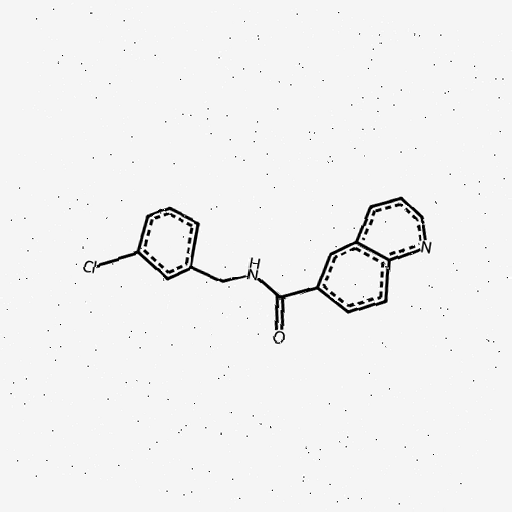 O=C(NCc1cccc(Cl)c1)c1ccc2ncccc2c1